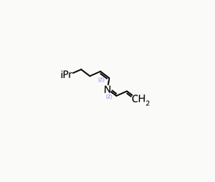 C=C/C=N\C=C/CCC(C)C